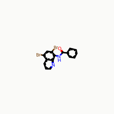 O=C(Nc1c(Br)cc(Br)c2cccnc12)c1ccccc1